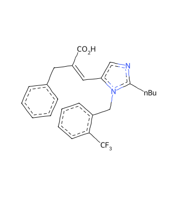 CCCCc1ncc(C=C(Cc2ccccc2)C(=O)O)n1Cc1ccccc1C(F)(F)F